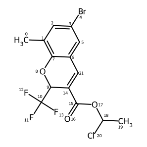 Cc1cc(Br)cc2c1OC(C(F)(F)F)C(C(=O)OC(C)Cl)=C2